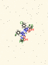 O=C(O)N(Cc1nc(Cn2nc(-c3ccc(Cl)cc3)n(C[C@H](O)C(F)(F)F)c2=O)nn1-c1cccc(F)c1)CC(F)(F)F